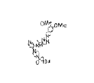 C=C(Nc1cnccc1N1CCN(C(=O)OC(C)(C)C)CC1)c1ccnc(N2Cc3cc(OC)c(OC)cc3C2)n1